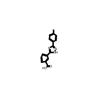 Cc1ccc(-c2n[nH]c(-c3cccc(C(=O)O)c3)n2)cc1